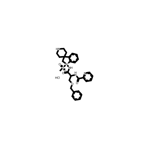 CS(=O)(=O)[N+]1(NC(=O)C(COCc2ccccc2)NC(=O)c2ccccn2)CC2(CCNCC2)c2ccccc21.Cl